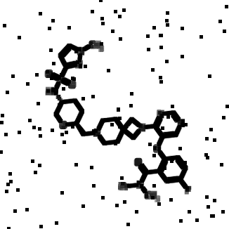 CC(C)N(C)C(=O)c1cc(F)ccc1Oc1cncnc1N1CC2(CCN(C[C@@H]3CC[C@@H](NS(=O)(=O)c4ccn(C)n4)CO3)CC2)C1